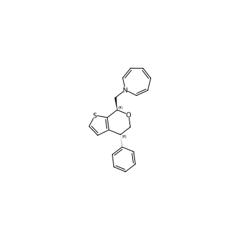 C1=CC=CN(C[C@H]2OC[C@H](c3ccccc3)c3ccsc32)C=C1